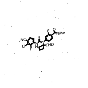 CNC(=O)c1ccc(N(C(=S)Nc2ccc(C#N)c(Cl)c2F)C2(C=O)CCC2)cc1F